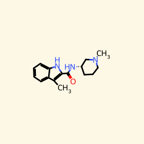 Cc1c(C(=O)N[C@H]2CCCN(C)C2)[nH]c2ccccc12